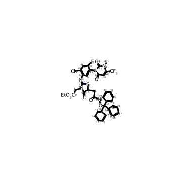 CCOC(=O)CN1C(=O)C(CC(=O)NOC(c2ccccc2)(c2ccccc2)c2ccccc2)S/C1=N\c1cc(-n2c(=O)cc(C(F)(F)F)n(C)c2=O)c(F)cc1Cl